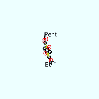 CCCC(C)CCC(=O)Oc1ccc(Sc2cccc3c2C(=O)c2cccc(Sc4ccc(OCC(CC)CC)cc4)c2C3=O)cc1